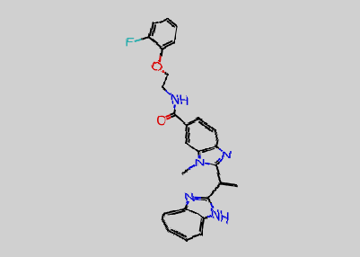 CC(c1nc2ccccc2[nH]1)c1nc2ccc(C(=O)NCCOc3ccccc3F)cc2n1C